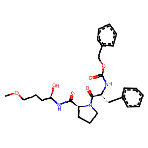 COCCC[C@@H](O)NC(=O)[C@@H]1CCCN1C(=O)[C@@H](Cc1ccccc1)NC(=O)OCc1ccccc1